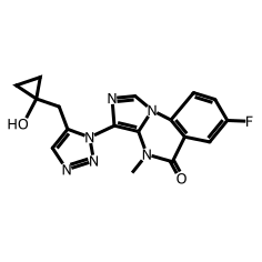 Cn1c(=O)c2cc(F)ccc2n2cnc(-n3nncc3CC3(O)CC3)c12